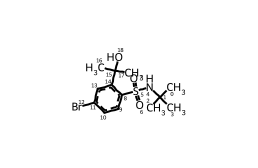 CC(C)(C)NS(=O)(=O)c1ccc(Br)cc1C(C)(C)O